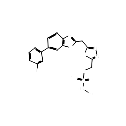 CCNS(=O)(=O)NCc1nnc(Cc2nc3ccc(-c4cccc(F)c4)cc3s2)o1